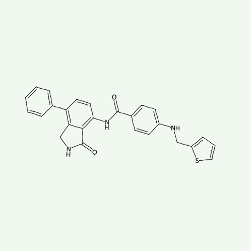 O=C(Nc1ccc(-c2ccccc2)c2c1C(=O)NC2)c1ccc(NCc2cccs2)cc1